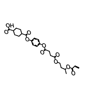 C=CC(=O)OC(C)CCOC(=O)CCC(=O)Oc1ccc(OC(=O)C2CCC(C(=O)O)CC2)cc1